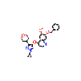 COc1cc2c(Oc3cn(C4CC4)nc3C3CCOCC3)ccnc2cc1OCc1ccccc1